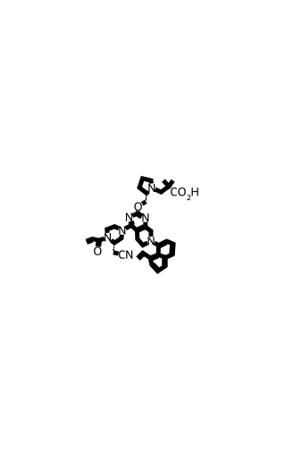 C=CC(=O)N1CCN(c2nc(OC[C@@H]3CCCN3CC(C)(C)C(=O)O)nc3c2CCN(c2cccc4cccc(C=C)c24)C3)C[C@@H]1CC#N